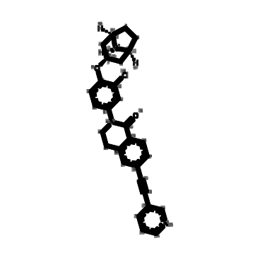 CN1[C@@H]2CC[C@H]1C[C@@H](Oc1ccc(N3CCc4cc(C#Cc5cccnc5)ccc4C3=O)cc1Cl)C2